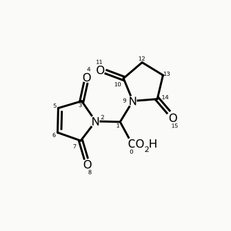 O=C(O)C(N1C(=O)C=CC1=O)N1C(=O)CCC1=O